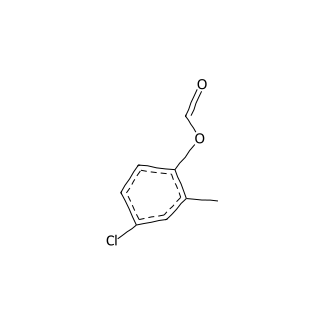 Cc1cc(Cl)ccc1OC=O